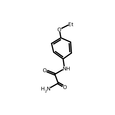 CCOc1ccc(NC(=O)C(N)=O)cc1